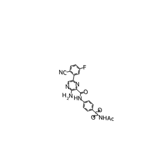 CC(=O)NS(=O)(=O)c1ccc(NC(=O)c2nc(-c3cc(F)ccc3C#N)cnc2N)cc1